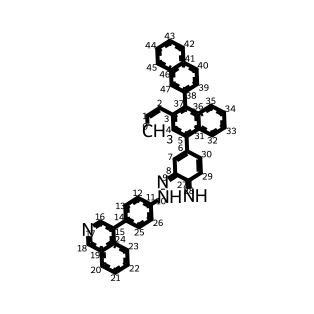 C/C=C\c1cc(C2=C/C(=N/Nc3ccc(-c4cncc5ccccc45)cc3)C(=N)C=C2)c2ccccc2c1-c1ccc2ccccc2c1